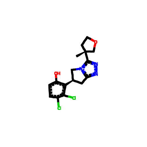 C[C@@]1(c2nnc3n2C[C@H](c2c(O)ccc(Cl)c2Cl)C3)CCOC1